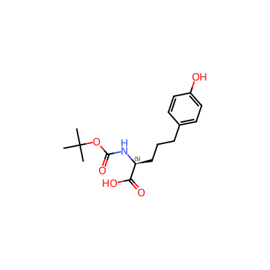 CC(C)(C)OC(=O)N[C@@H](CCCc1ccc(O)cc1)C(=O)O